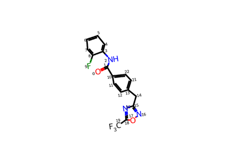 O=C(Nc1ccccc1F)c1ccc(Cc2noc(C(F)(F)F)n2)cc1